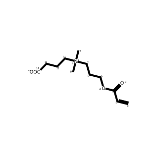 C=CC(=O)OCCC[N+](C)(C)CCCC(=O)[O-]